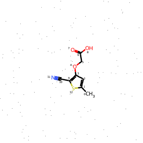 Cc1cc(OCC(=O)O)c(C#N)s1